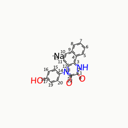 O=c1[nH]c2c3ccccc3ccc2n(-c2ccc(O)cc2)c1=O.[Na]